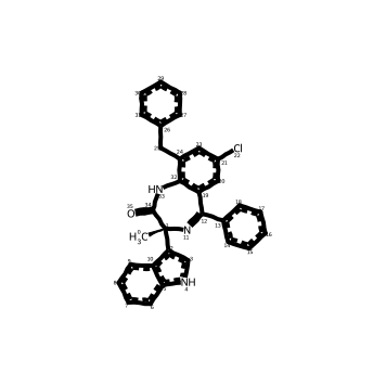 C[C@]1(c2c[nH]c3ccccc23)N=C(c2ccccc2)c2cc(Cl)cc(Cc3ccccc3)c2NC1=O